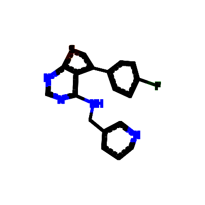 Fc1ccc(-c2csc3ncnc(NCc4cccnc4)c23)cc1